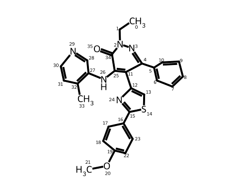 CCn1nc(-c2ccccc2)c(-c2csc(-c3ccc(OC)cc3)n2)c(Nc2cnccc2C)c1=O